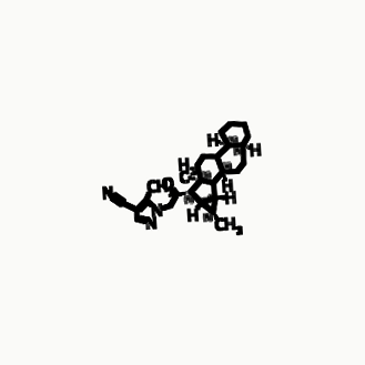 Cc1c(C#N)cnn1CC(=O)[C@H]1[C@H]2[C@@H](C)[C@H]2C2[C@@H]3CC[C@@H]4CCCC[C@@H]4C3CC[C@@]21C